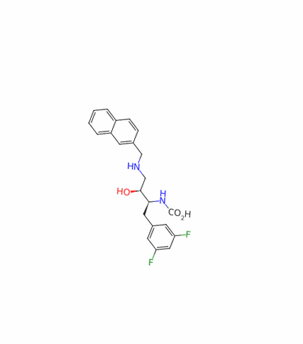 O=C(O)N[C@@H](Cc1cc(F)cc(F)c1)[C@@H](O)CNCc1ccc2ccccc2c1